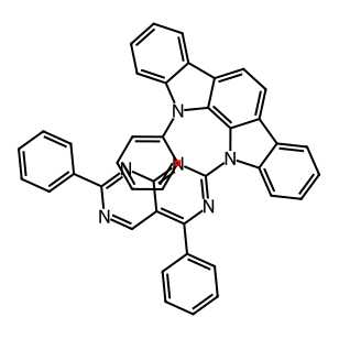 c1ccc(-c2ncc3c(-c4ccccc4)nc(-n4c5ccccc5c5ccc6c7ccccc7n(-c7ccccc7)c6c54)nc3n2)cc1